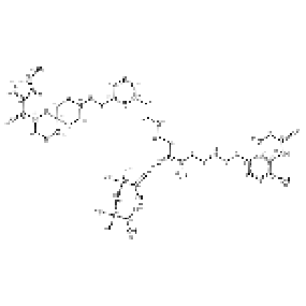 CC[C@@H](C)N(CCNCCc1ccc(O)c2c1OCC(=O)N2)C(=O)CCOCCc1cccc(CCN2CCC3(CC2)CN(C(=O)c2csc(C(C)C)n2)CCO3)c1.O=C(O)C(F)(F)F.O=C(O)C(F)(F)F